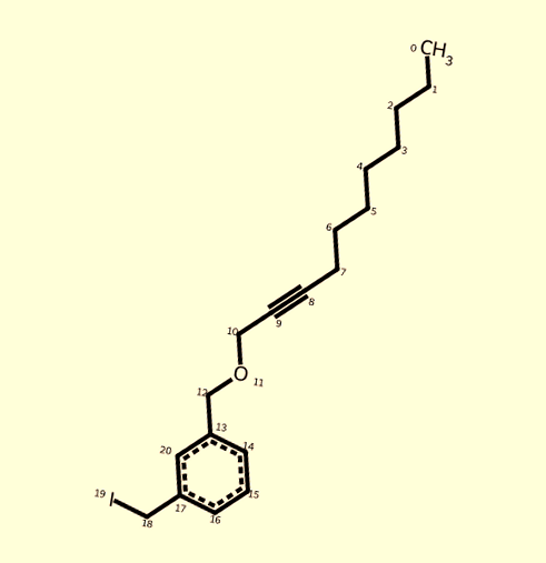 CCCCCCCCC#CCOCc1cccc(CI)c1